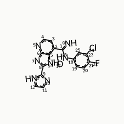 N=C(c1ccnc2nc(-c3ncc[nH]3)[nH]c12)N(O)c1ccc(F)c(Cl)c1